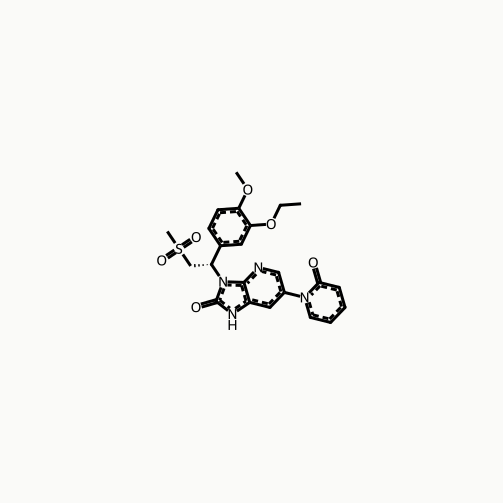 CCOc1cc([C@@H](CS(C)(=O)=O)n2c(=O)[nH]c3cc(-n4ccccc4=O)cnc32)ccc1OC